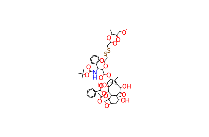 COCC(=O)C(C)OC(=O)CSSCC(=O)OC(C(=O)OC1CC2(O)C(OC(=O)c3ccccc3)C3C4(OC(C)=O)COC4CC(O)C3(C)C(=O)C(O)C(=C1C)C2(C)C)C(NC(=O)OC(C)(C)C)c1ccccc1